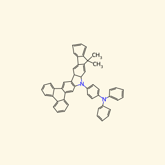 CC1(C)C2=CC3C(C=C2c2ccccc21)c1cc2c4ccccc4c4ccccc4c2cc1N3c1ccc(N(c2ccccc2)c2ccccc2)cc1